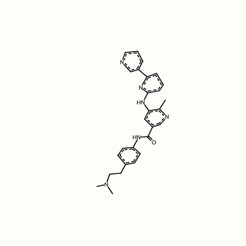 Cc1ncc(C(=O)Nc2ccc(CCN(C)C)cc2)cc1Nc1cccc(-c2cccnc2)n1